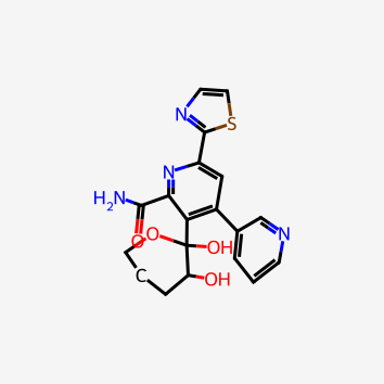 NC(=O)c1nc(-c2nccs2)cc(-c2cccnc2)c1C1(O)OCCCC1O